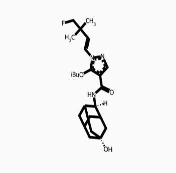 CC(C)COc1c(C(=O)N[C@H]2C3CC4CC2C[C@](O)(C4)C3)cnn1/C=C/C(C)(C)CF